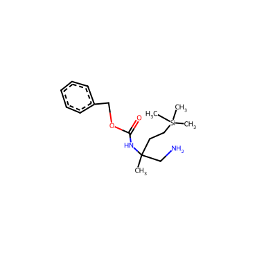 CC(CN)(CC[Si](C)(C)C)NC(=O)OCc1ccccc1